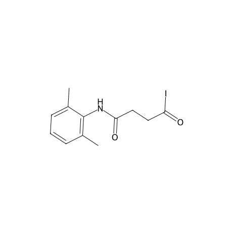 Cc1cccc(C)c1NC(=O)CCC(=O)I